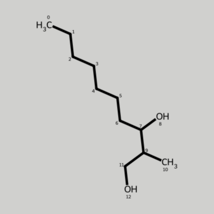 CCCCCCCC(O)C(C)CO